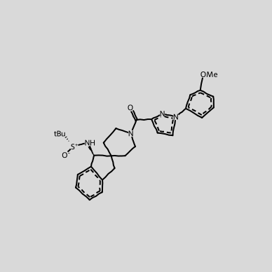 COc1cccc(-n2ccc(C(=O)N3CCC4(CC3)Cc3ccccc3[C@H]4N[S@+]([O-])C(C)(C)C)n2)c1